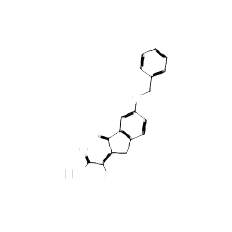 O=C(O)C(O)=C1Cc2ccc(OCc3ccccc3)cc2C1=O